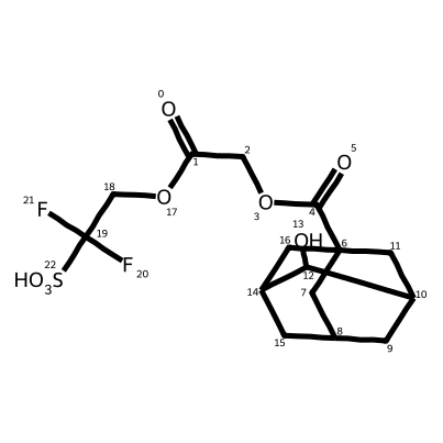 O=C(COC(=O)C12CC3CC(C1)C(O)C(C3)C2)OCC(F)(F)S(=O)(=O)O